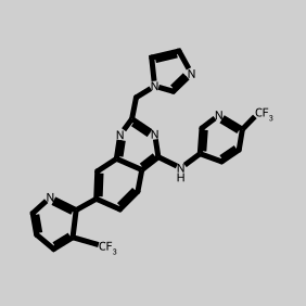 FC(F)(F)c1ccc(Nc2nc(Cn3ccnc3)nc3cc(-c4ncccc4C(F)(F)F)ccc23)cn1